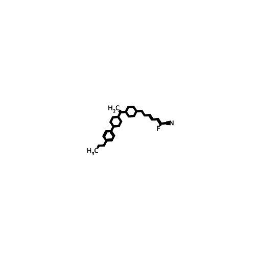 C=C(C1CCC(CCC=CC=C(F)C#N)CC1)C1CCC(c2ccc(CCC)cc2)CC1